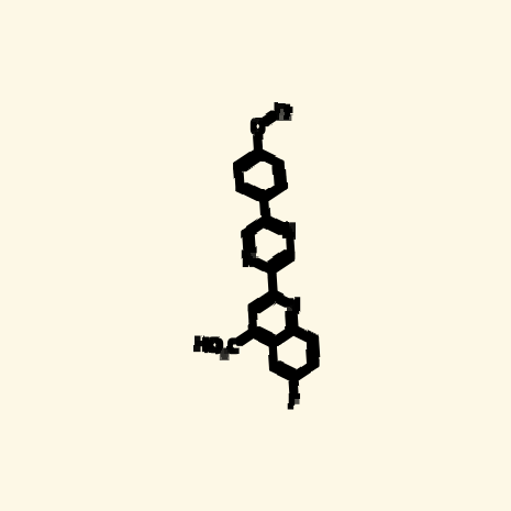 CCOc1ccc(-c2cnc(-c3cc(C(=O)O)c4cc(F)ccc4n3)cn2)cc1